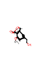 COc1cc(CCO)cc2c1C(=O)OC2